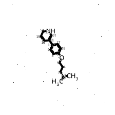 CN(C)CCCOc1ccc(C2=CNCC=C2)cc1